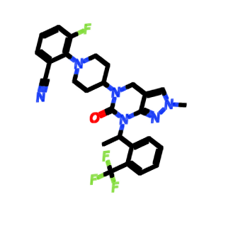 CC(c1ccccc1C(F)(F)F)N1C(=O)N(C2CCN(c3c(F)cccc3C#N)CC2)Cc2cn(C)nc21